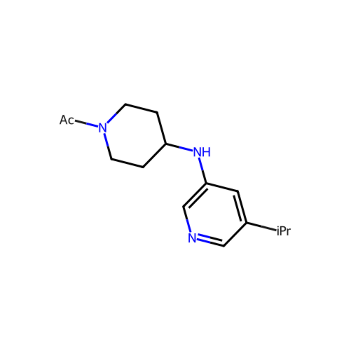 CC(=O)N1CCC(Nc2cncc(C(C)C)c2)CC1